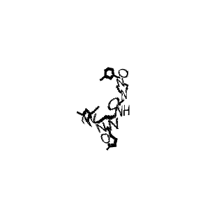 Cc1cccc(C(=O)N2CCN(CC(=O)Nc3cc(-n4nc(C)cc4C)nc(-c4ccc(C)o4)n3)CC2)c1